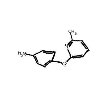 Cc1cccc(Oc2ccc(N)cc2)n1